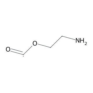 NCCO[C]=O